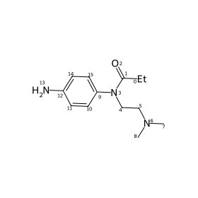 CCC(=O)N(CCN(C)C)c1ccc(N)cc1